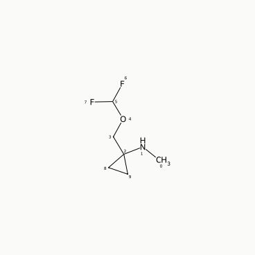 CNC1(COC(F)F)CC1